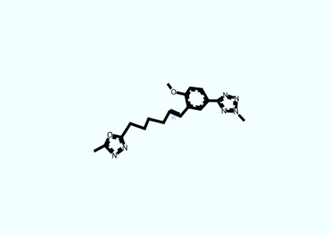 COc1ccc(-c2nnn(C)n2)cc1/C=C/CCCCc1nnc(C)o1